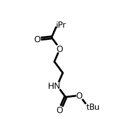 CC(C)C(=O)OCCNC(=O)OC(C)(C)C